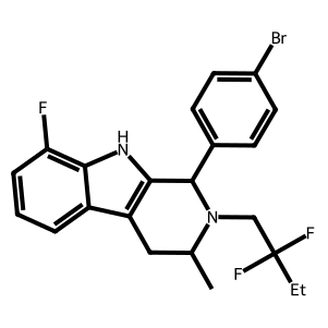 CCC(F)(F)CN1C(C)Cc2c([nH]c3c(F)cccc23)C1c1ccc(Br)cc1